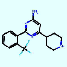 Nc1cc(C2CCNCC2)nc(-c2ccccc2C(F)(F)F)n1